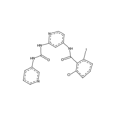 O=C(Nc1cccnc1)Nc1cc(NC(=O)c2c(Cl)cccc2I)ccn1